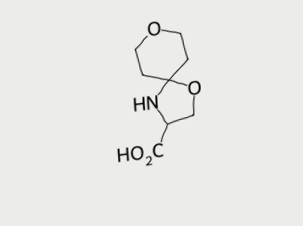 O=C(O)C1COC2(CCOCC2)N1